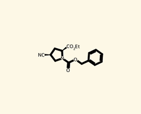 CCOC(=O)[C@@H]1C[C@H](C#N)CN1C(=O)OCc1ccccc1